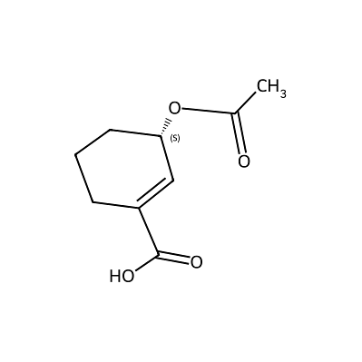 CC(=O)O[C@@H]1C=C(C(=O)O)CCC1